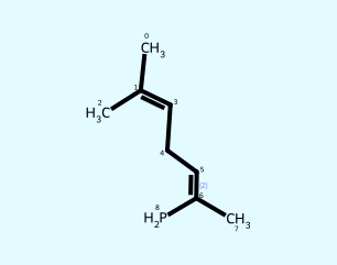 CC(C)=CC/C=C(/C)P